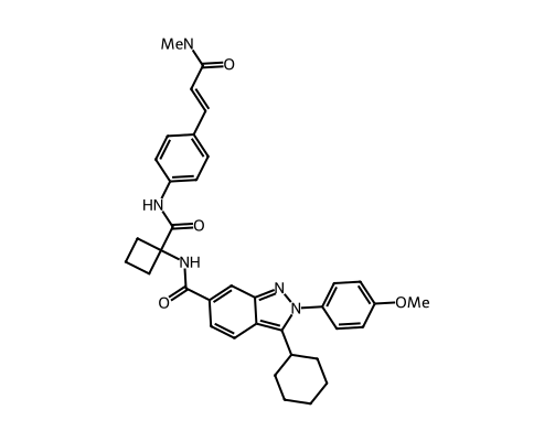 CNC(=O)C=Cc1ccc(NC(=O)C2(NC(=O)c3ccc4c(C5CCCCC5)n(-c5ccc(OC)cc5)nc4c3)CCC2)cc1